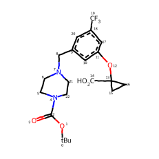 CC(C)(C)OC(=O)N1CCN(Cc2cc(OC3(C(=O)O)CC3)cc(C(F)(F)F)c2)CC1